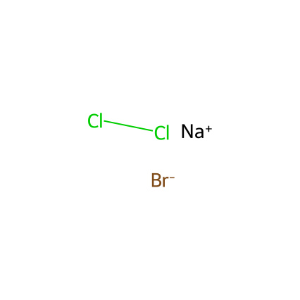 ClCl.[Br-].[Na+]